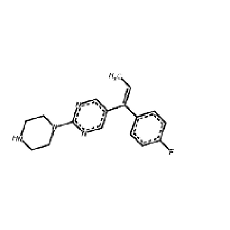 C/C=C(/c1ccc(F)cc1)c1cnc(N2CCNCC2)nc1